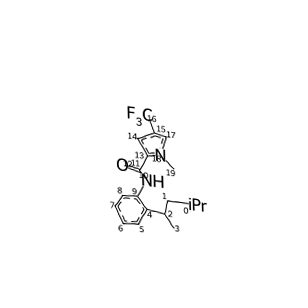 CC(C)CC(C)c1ccccc1NC(=O)c1cc(C(F)(F)F)cn1C